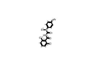 CCCc1ccc(N(CC)C(=O)NC(=O)c2c(Cl)cccc2Cl)cc1